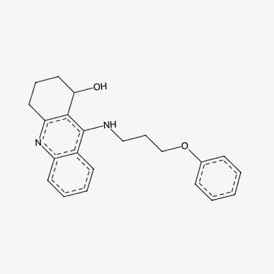 OC1CCCc2nc3ccccc3c(NCCCOc3ccccc3)c21